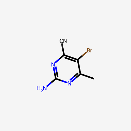 Cc1nc(N)nc(C#N)c1Br